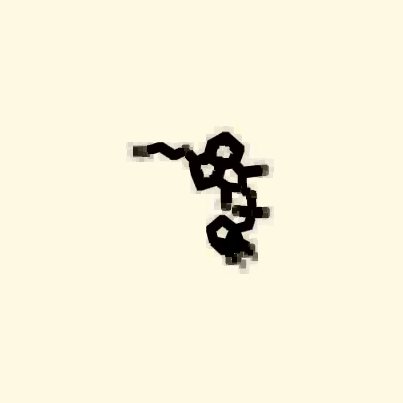 CC1(C)C2CCC1(CS(=O)(=O)ON1C(=O)c3cccc4c(SCCO)ccc(c34)C1=O)C(=O)C2